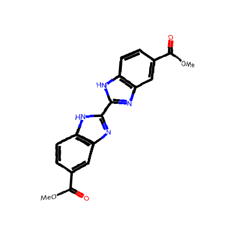 COC(=O)c1ccc2[nH]c(-c3nc4cc(C(=O)OC)ccc4[nH]3)nc2c1